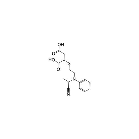 CC(C#N)N(CCSC(CC(=O)O)C(=O)O)c1ccccc1